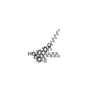 CCCCCCCCCOC(C)c1ccc(-c2ccc(C(=O)O)c(-c3ccccc3)c2C(CCC)CCCCCCCC)cc1